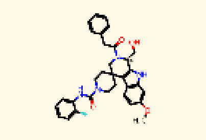 COc1ccc2c3c([nH]c2c1)[C@H](CO)N(C(=O)Cc1ccccc1)CC31CCN(C(=O)Nc2ccccc2F)CC1